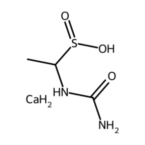 CC(NC(N)=O)S(=O)O.[CaH2]